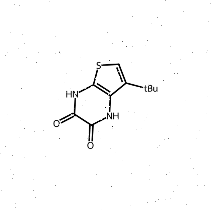 CC(C)(C)c1csc2[nH]c(=O)c(=O)[nH]c12